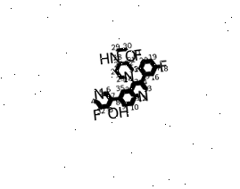 Oc1c(F)cncc1-c1ccc2ncc(-c3cc(F)cc(F)c3)c(N3CCC4NCCOC4C3)c2c1